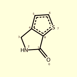 O=C1NCc2ccsc21